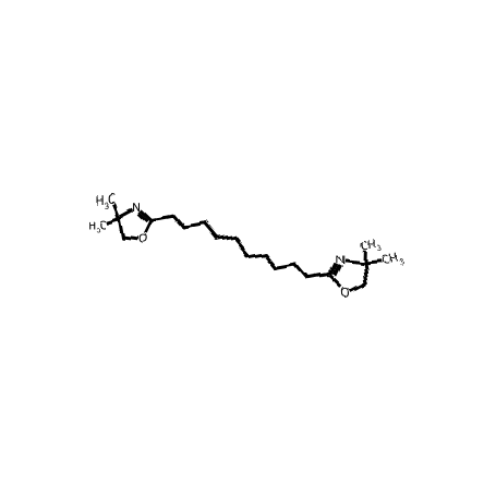 CC1(C)COC(CCCCCCCCCCC2=NC(C)(C)CO2)=N1